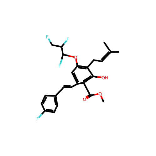 COC(=O)c1c(C=Cc2ccc(F)cc2)cc(OC(F)C(F)CF)c(CC=C(C)C)c1O